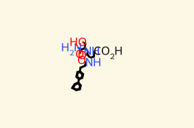 NC(=O)C(CO)NC(=O)C(CCC(=O)O)NC(=O)CCc1ccc(-c2ccccc2)cc1